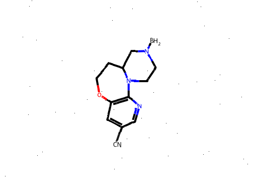 BN1CCN2c3ncc(C#N)cc3OCCC2C1